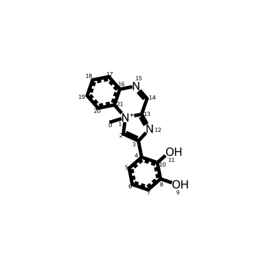 C[N+]12C=C(c3cccc(O)c3O)N=C1C=Nc1ccccc12